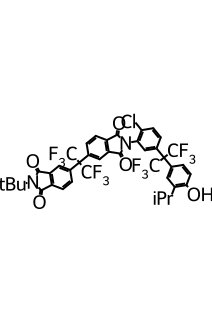 CC(C)c1cc(C(c2ccc(Cl)c(N3C(=O)c4ccc(C(c5ccc6c(c5)C(=O)N(C(C)(C)C)C6=O)(C(F)(F)F)C(F)(F)F)cc4C3=O)c2)(C(F)(F)F)C(F)(F)F)ccc1O